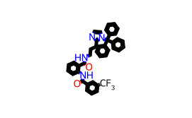 O=C(Nc1ccccc1C(=O)NCCCc1nccn1C(c1ccccc1)(c1ccccc1)c1ccccc1)c1cccc(C(F)(F)F)c1